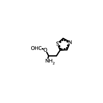 NC(Cc1cncs1)OC=O